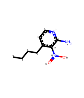 CCCCc1ccnc(N)c1[N+](=O)[O-]